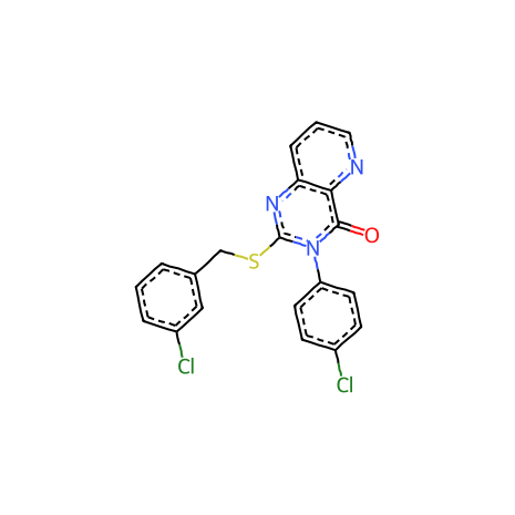 O=c1c2ncccc2nc(SCc2cccc(Cl)c2)n1-c1ccc(Cl)cc1